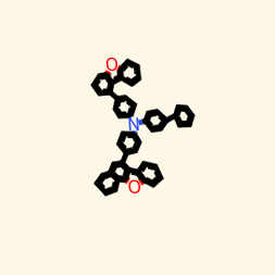 c1ccc(-c2ccc(N(c3ccc(-c4cccc5oc6ccccc6c45)cc3)c3ccc(-c4cc5ccccc5c5oc6ccccc6c45)cc3)cc2)cc1